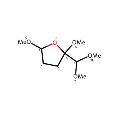 COC1CCC(OC)(C(OC)OC)O1